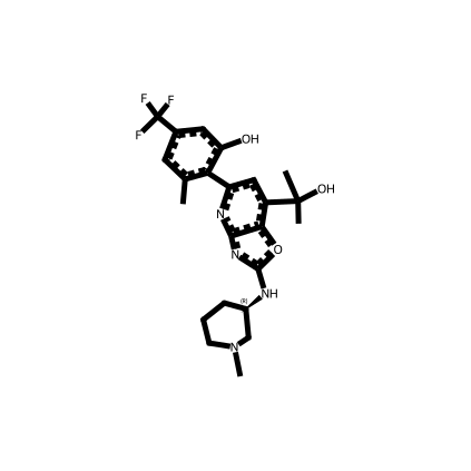 Cc1cc(C(F)(F)F)cc(O)c1-c1cc(C(C)(C)O)c2oc(N[C@@H]3CCCN(C)C3)nc2n1